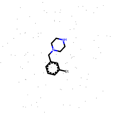 CCc1cccc(CN2CCNCC2)c1